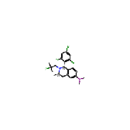 C[C@@H]1Cc2cc(P(C)C)ccc2[C@@H](c2c(F)cc(Br)cc2F)N1CC(C)(C)F